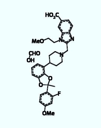 COCCn1c(CN2CCC(c3cccc4c3OC(C)(c3ccc(OC)cc3F)O4)CC2)nc2ccc(C(=O)O)cc21.O=CO